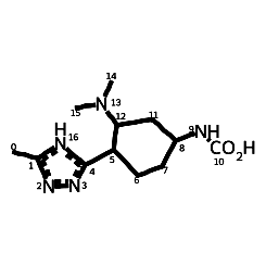 Cc1nnc(C2CCC(NC(=O)O)CC2N(C)C)[nH]1